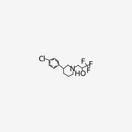 OC(CN1CCCC(c2ccc(Cl)cc2)C1)C(F)(F)F